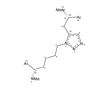 CN[C@@H](CCCCn1nncc1C[C@H](NC)C(C)=O)C(C)=O